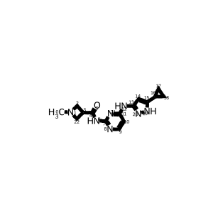 CN1CC(C(=O)Nc2nccc(Nc3cc(C4CC4)[nH]n3)n2)C1